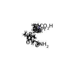 C=CC(N)=O.CCC/C(=C(/C)C(=O)O)[Si](O[Si](C)(C)C)(O[Si](C)(C)C)O[Si](C)(C)C.O=C1C=C(N2CC2)C(=O)C(N2CC2)=C1N1CC1